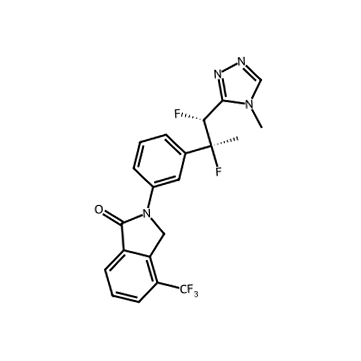 Cn1cnnc1[C@@H](F)[C@@](C)(F)c1cccc(N2Cc3c(cccc3C(F)(F)F)C2=O)c1